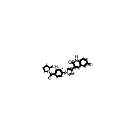 CC1CCCN1C(=O)c1ccc(-n2cc(-c3cc4cc(Cl)ccc4[nH]c3=O)nn2)cc1